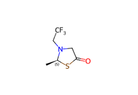 C[C@@H]1SC(=O)CN1CC(F)(F)F